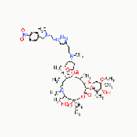 CC[C@H]1OC(=O)[C@H](C)[C@@H](O[C@H]2C[C@@](C)(OC)[C@@H](O)[C@H](C)O2)[C@H](C)[C@@H](O[C@H]2C[C@@H](N(C)CCc3cn(CCN(C)Cc4ccc([N+](=O)[O-])cc4)nn3)C[C@@H](C)O2)[C@](C)(O)C[C@@H](C)CN(C)[C@H](C)[C@@H](O)[C@]1(C)O